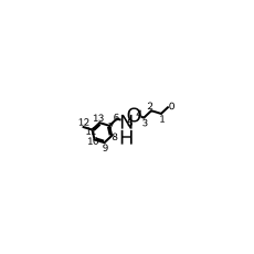 CCCCONCc1cccc(C)c1